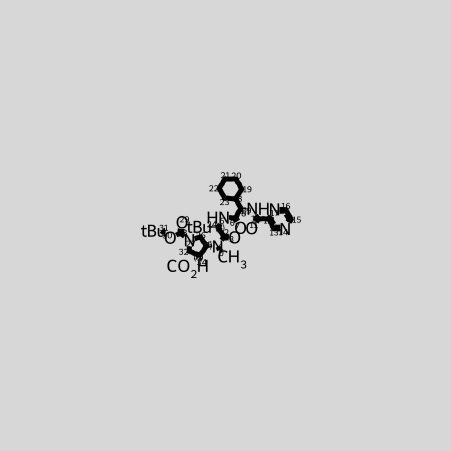 CN(C(=O)[C@@H](NC(=O)[C@@H](NC(=O)c1cnccn1)C1CCCCC1)C(C)(C)C)[C@H]1CN(C(=O)OC(C)(C)C)C[C@H]1C(=O)O